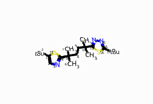 CC(C)(C)c1cnc(C(C)(C)CCC(C)(C)c2nnc(C(C)(C)C)s2)s1